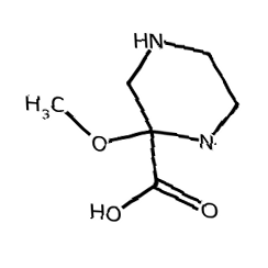 COC1(C(=O)O)CNCC[N]1